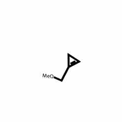 COCC1=CC1